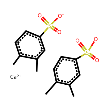 Cc1ccc(S(=O)(=O)[O-])cc1C.Cc1ccc(S(=O)(=O)[O-])cc1C.[Ca+2]